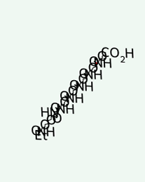 CCC(=O)NCCOCCOCC(=O)NCC(=O)NCCOCC(=O)NCCOCC(=O)NCCOCC(=O)NCCOCC(=O)NCCOCC(=O)O